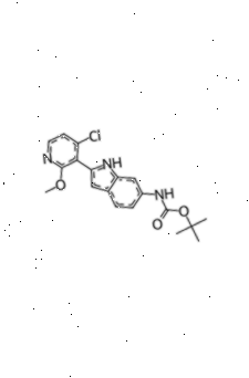 COc1nccc(Cl)c1-c1cc2ccc(NC(=O)OC(C)(C)C)cc2[nH]1